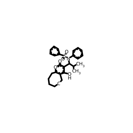 CC(C)C(c1c(O)c2c(oc1=O)CCCCCC2)N(c1ccccc1)S(=O)(=O)c1ccccc1